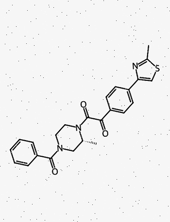 Cc1nc(-c2ccc(C(=O)C(=O)N3CCN(C(=O)c4ccccc4)C[C@H]3C)cc2)cs1